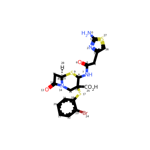 Nc1nc(CC(=O)NC2S[C@@H]3CC(=O)N3CC2(Sc2ccccc2Br)C(=O)O)cs1